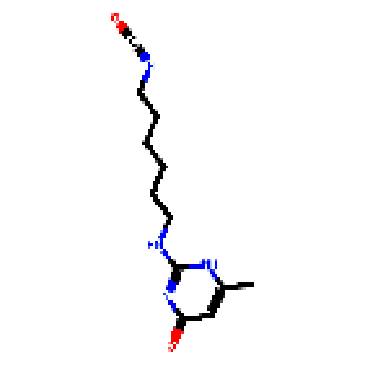 Cc1cc(=O)nc(NCCCCCCN=C=O)[nH]1